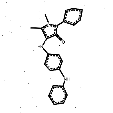 Cc1c(Nc2ccc(Nc3ccccc3)cc2)c(=O)n(-c2ccccc2)n1C